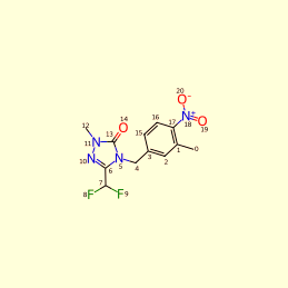 Cc1cc(Cn2c(C(F)F)nn(C)c2=O)ccc1[N+](=O)[O-]